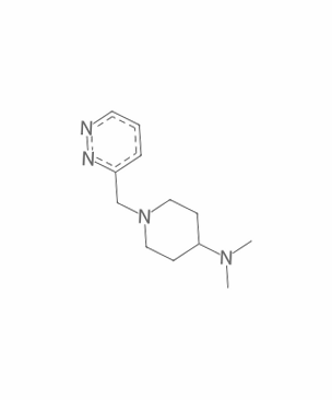 CN(C)C1CCN(Cc2cccnn2)CC1